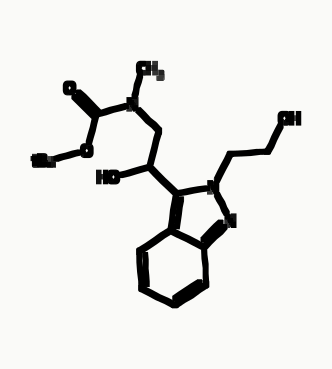 CN(CC(O)c1c2ccccc2nn1CCO)C(=O)OC(C)(C)C